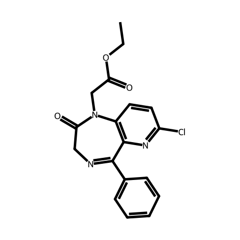 CCOC(=O)CN1C(=O)CN=C(c2ccccc2)c2nc(Cl)ccc21